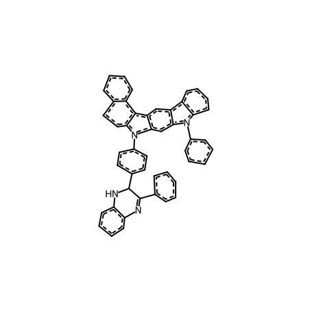 c1ccc(C2=Nc3ccccc3NC2c2ccc(-n3c4cc5c(cc4c4c6ccccc6ccc43)c3ccccc3n5-c3ccccc3)cc2)cc1